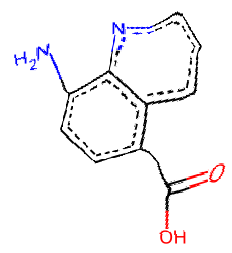 Nc1ccc(C(=O)O)c2cccnc12